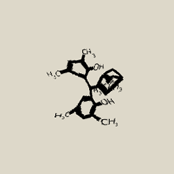 Cc1cc(C)c(O)c(C(C2=CCC3CC2C3(C)C)c2cc(C)cc(C)c2O)c1